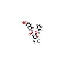 Cc1ccc(CC(C(=O)OCCc2ccc(O)cc2)C(=O)OCc2ccccc2)cc1